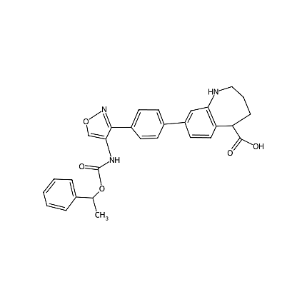 CC(OC(=O)Nc1conc1-c1ccc(-c2ccc3c(c2)NCCCC3C(=O)O)cc1)c1ccccc1